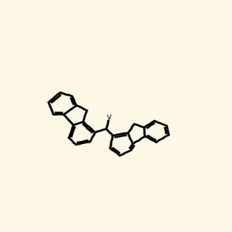 [V][CH](c1cccc2c1Cc1ccccc1-2)c1cccc2c1Cc1ccccc1-2